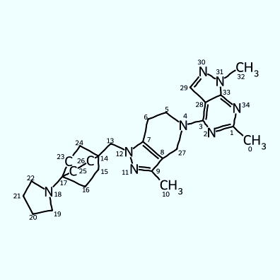 Cc1nc(N2CCc3c(c(C)nn3CC34CCC(N5CCCC5)(CC3)CC4)C2)c2cnn(C)c2n1